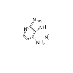 Nc1ccnc2nc[nH]c12.[N]